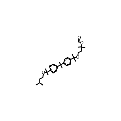 CC(C)CCOC(C)(C)c1ccc(C(C)(C)c2ccc(C(C)(C)OCCC(C)(C)OC=O)cc2)cc1